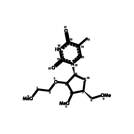 COCCOC1C(OC)[C@@H](COC)S[C@H]1n1cc(C)c(=O)[nH]c1=O